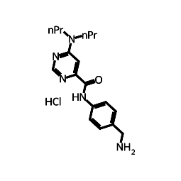 CCCN(CCC)c1cc(C(=O)Nc2ccc(CN)cc2)ncn1.Cl